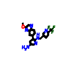 COc1cnc2ccc(-c3cc(N)cnc3NCc3ccc(C(F)(F)F)nc3)cc2n1